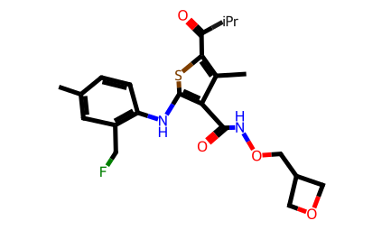 Cc1ccc(Nc2sc(C(=O)C(C)C)c(C)c2C(=O)NOCC2COC2)c(CF)c1